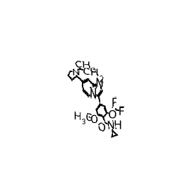 C=C(C)N1CCCC1c1ccn2c(-c3cc(OC)c(C(=O)NC4CC4)c(OC(F)F)c3)cnc2c1